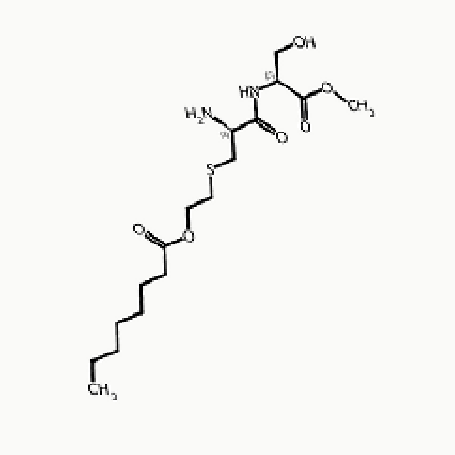 CCCCCCCC(=O)OCCSC[C@@H](N)C(=O)N[C@@H](CO)C(=O)OC